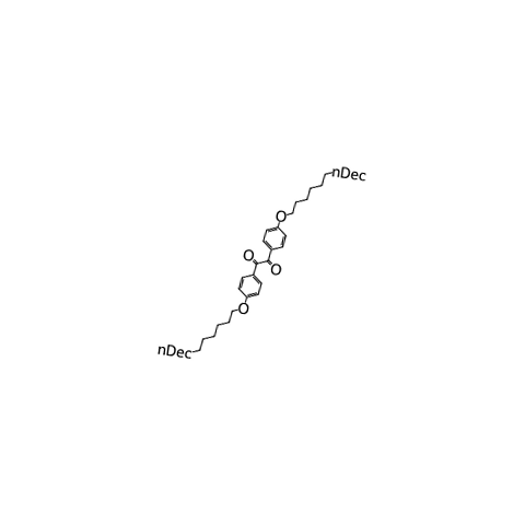 CCCCCCCCCCCCCCCCOc1ccc(C(=O)C(=O)c2ccc(OCCCCCCCCCCCCCCCC)cc2)cc1